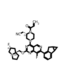 C=CC(=O)N1CCN(c2nc(OC[C@@]34CCCN3C[C@H](F)C4)nc3c(F)c(-c4cccc5c4CC4CC54)ncc23)C[C@@H]1CC#N